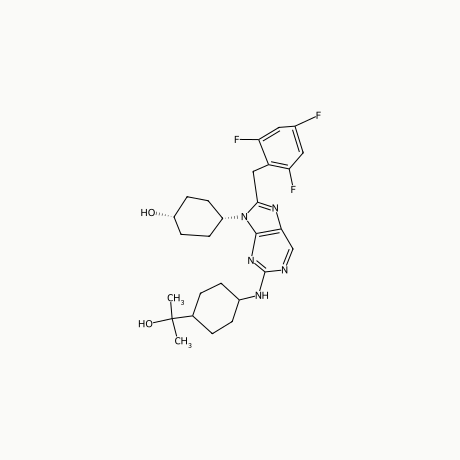 CC(C)(O)C1CCC(Nc2ncc3nc(Cc4c(F)cc(F)cc4F)n([C@H]4CC[C@@H](O)CC4)c3n2)CC1